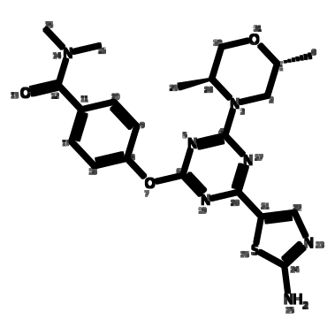 C[C@@H]1CN(c2nc(Oc3ccc(C(=O)N(C)C)cc3)nc(-c3cnc(N)s3)n2)[C@@H](C)CO1